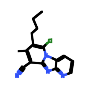 CCCCc1c(C)c(C#N)c2nc3ncccc3n2c1Cl